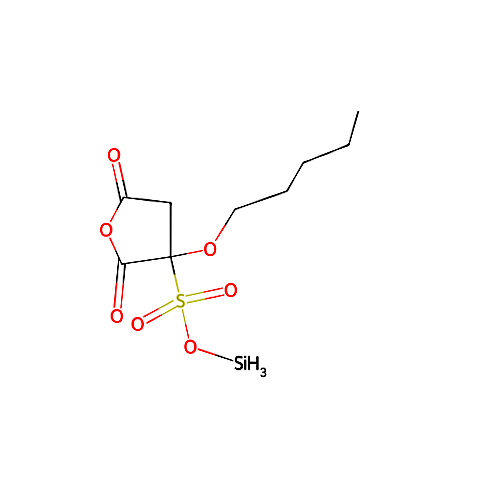 CCCCCOC1(S(=O)(=O)O[SiH3])CC(=O)OC1=O